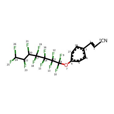 N#CC=Cc1ccc(OC(F)(F)C(F)(F)C(F)(F)C(F)(F)C(F)C(F)C(F)F)cc1